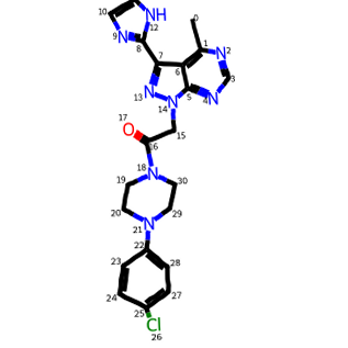 Cc1ncnc2c1c(-c1ncc[nH]1)nn2CC(=O)N1CCN(c2ccc(Cl)cc2)CC1